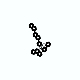 c1ccc2cc(-c3ccc4cc(-c5ccc(N(c6cc7ccccc7c7ccccc67)c6cccc7c6oc6ccccc67)cc5)ccc4c3)ccc2c1